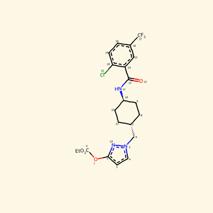 CCOC(=O)Oc1ccn(C[C@H]2CC[C@H](NC(=O)c3cc(C(F)(F)F)ccc3Cl)CC2)n1